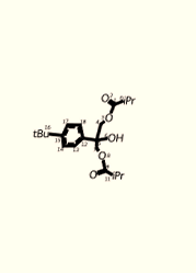 CC(C)C(=O)OCC(O)(COC(=O)C(C)C)c1ccc(C(C)(C)C)cc1